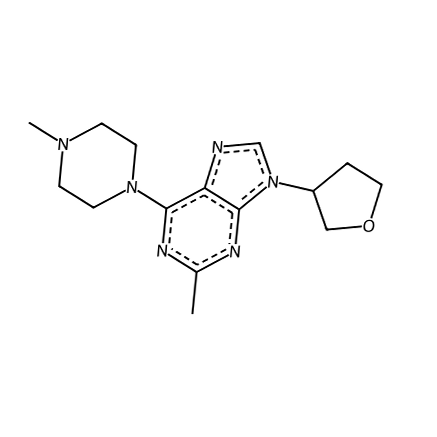 Cc1nc(N2CCN(C)CC2)c2ncn(C3CCOC3)c2n1